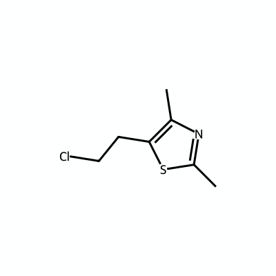 Cc1nc(C)c(CCCl)s1